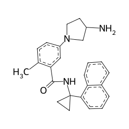 Cc1ccc(N2CCC(N)C2)cc1C(=O)NC1(c2cccc3ccccc23)CC1